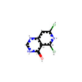 O=c1[nH]cnc2cc(Cl)nc(Cl)c12